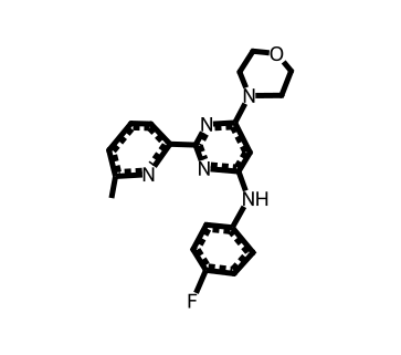 Cc1cccc(-c2nc(Nc3ccc(F)cc3)cc(N3CCOCC3)n2)n1